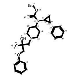 CC(O)(COc1ccccc1)CN1CCC(N(C(=O)OC(C)(C)C)[C@H]2C[C@@H]2c2ccccc2)CC1